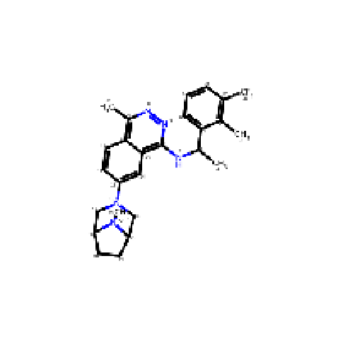 Cc1c(C(C)Nc2nnc(C)c3ccc(N4CC5CCC(C4)N5C)cc23)cccc1C(F)(F)F